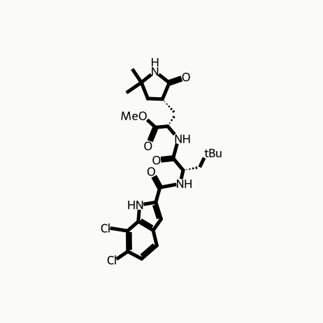 COC(=O)[C@H](C[C@@H]1CC(C)(C)NC1=O)NC(=O)[C@H](CC(C)(C)C)NC(=O)c1cc2ccc(Cl)c(Cl)c2[nH]1